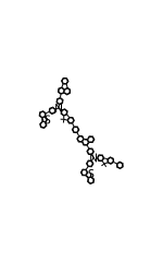 CC1(C)c2cc(-c3ccc(-c4ccc5cc(-c6ccc(N(c7ccc(-c8cccc9c8sc8ccccc89)cc7)c7ccc8c(c7)C(C)(C)c7cc(-c9ccccc9)ccc7-8)cc6)c6ccccc6c5c4)cc3)ccc2-c2ccc(N(c3ccc(-c4ccc5c6c(cccc46)-c4ccccc4-5)cc3)c3ccc(-c4cccc5c4sc4ccccc45)cc3)cc21